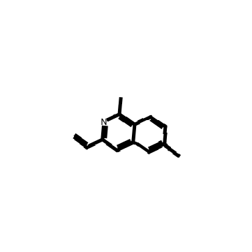 C=Cc1cc2cc(C)ccc2c(C)n1